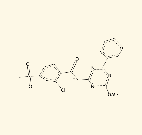 COc1nc(NC(=O)c2ccc(S(C)(=O)=O)cc2Cl)nc(-c2ccccn2)n1